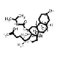 C=C(O)CC[C@@H](C)[C@H]1CC[C@H]2[C@@H]3CC[C@@H]4C[C@H](O)CC[C@]4(C)[C@H]3C[C@H](OC(=O)NC(C)C)[C@]12C